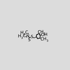 CCN(CC)C(=S)SCc1cc(C)c(O)c(C)c1